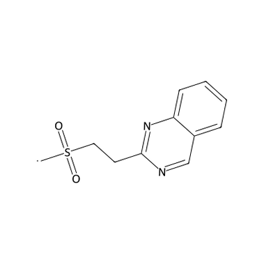 [CH2]S(=O)(=O)CCc1ncc2ccccc2n1